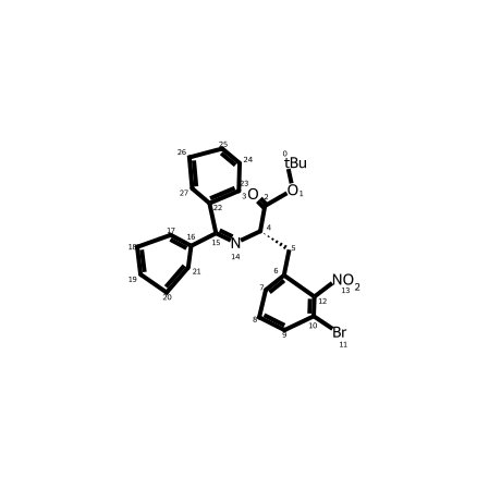 CC(C)(C)OC(=O)[C@H](Cc1cccc(Br)c1[N+](=O)[O-])N=C(c1ccccc1)c1ccccc1